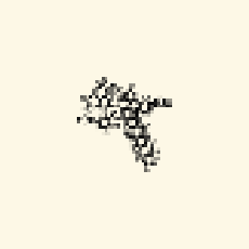 Cc1cc2c3c(c1)N(c1cc4c5c(c1)CC(C)(C)CN5CC(C)(C)C4)c1c(sc4ccc(C(C)(C)C)cc14)B3c1cc3c(cc1N2c1ccc(C(C)(C)C)cc1-c1ccc(C(C)(C)C)cc1)C(C)(C)c1cc2c(cc1C3(C)C)C(C)(C)c1ccccc1C2(C)C